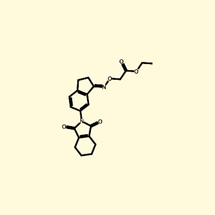 CCOC(=O)CO/N=C1\CCc2ccc(N3C(=O)C4=C(CCCC4)C3=O)cc21